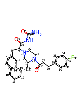 CCC1CN(C(Cc2ccc3ccccc3c2)C(=O)NC(N)=O)CCN1C(=O)[CH]Cc1ccc(F)cc1